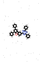 c1ccc(-c2cc(-c3ccccc3)c3oc4ccc(-c5nc(-c6ccccc6)nc(-c6ccccc6)n5)cc4c3c2)cc1